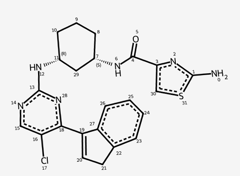 Nc1nc(C(=O)N[C@H]2CCC[C@@H](Nc3ncc(Cl)c(C4=CCc5ccccc54)n3)C2)cs1